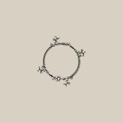 C=C(C)C(=O)OCC1COc2ccc(cc2)C(C)(C)c2ccc(cc2)OCC(COC(=O)C(=C)C)OC(=O)OCCCCCCCCCCOC(=O)OC(COC(=O)C(=C)C)COc2ccc(cc2)C(C)(C)c2ccc(cc2)OCC(COC(=O)C(=C)C)OC(=O)OCCCCCCCCCCOC(=O)O1